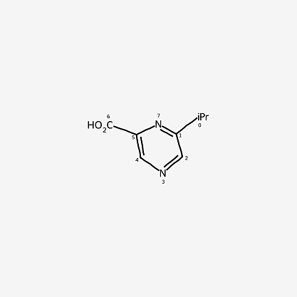 CC(C)c1cncc(C(=O)O)n1